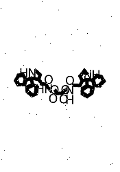 O=C(CC1CCNC1(c1ccccc1)c1ccccc1)NOC(=O)C(=O)ONC(=O)CC1CCNC1(c1ccccc1)c1ccccc1